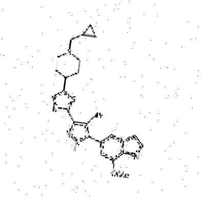 COc1cc(-c2[nH]nc(-c3ncc(C4CCN(CC5CC5)CC4)s3)c2C(C)C)cn2ccnc12